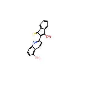 Bc1cccc2nc(C3=C(O)c4ccccc4C3=S)ccc12